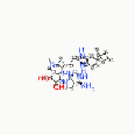 CN(C[C@H]1C[C@@H](N2CCC3C(N)NCNC32)[C@H](O)[C@@H]1O)C1CC(CCC2Nc3ccc(C4(C)CCC4)cc3N2)C1